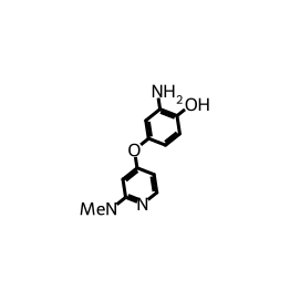 CNc1cc(Oc2ccc(O)c(N)c2)ccn1